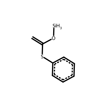 C=C(O[SiH3])Sc1ccccc1